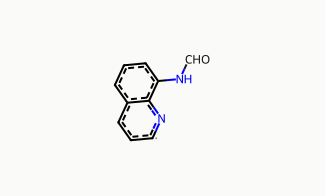 O=CNc1cccc2cc[c]nc12